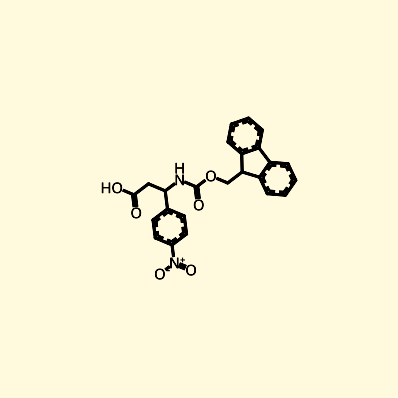 O=C(O)CC(NC(=O)OCC1c2ccccc2-c2ccccc21)c1ccc([N+](=O)[O-])cc1